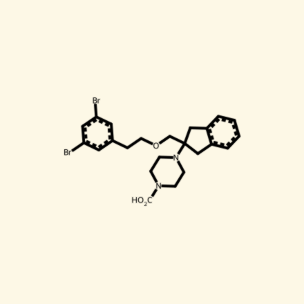 O=C(O)N1CCN(C2(COCCc3cc(Br)cc(Br)c3)Cc3ccccc3C2)CC1